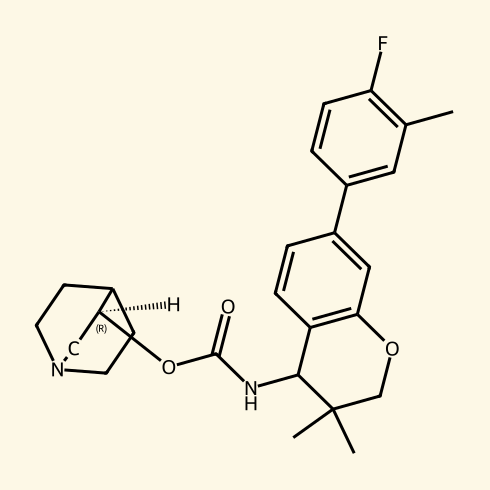 Cc1cc(-c2ccc3c(c2)OCC(C)(C)C3NC(=O)O[C@H]2CN3CCC2CC3)ccc1F